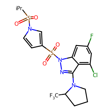 CC(C)S(=O)(=O)n1ccc(S(=O)(=O)n2nc(N3CCCC3C(F)(F)F)c3c(Cl)cc(F)cc32)c1